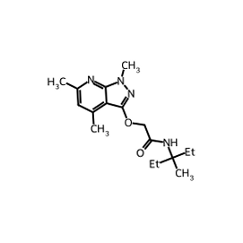 CCC(C)(CC)NC(=O)COc1nn(C)c2nc(C)cc(C)c12